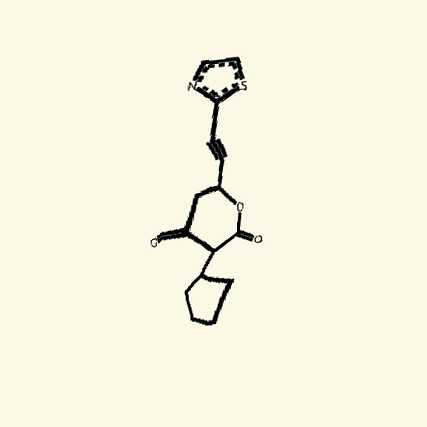 O=C1CC(C#Cc2nccs2)OC(=O)C1C1CCCC1